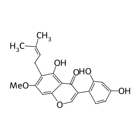 COc1cc2occ(-c3ccc(O)cc3O)c(=O)c2c(O)c1CC=C(C)C